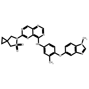 Cc1cc(Nc2ncnc3cnc(N4CC5(CC5)CS4(=O)=O)nc23)ccc1Oc1ccc2c(c1)ncn2C